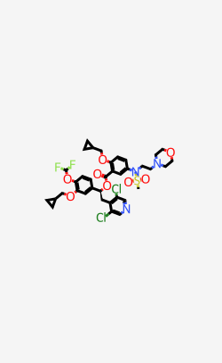 CS(=O)(=O)N(CCN1CCOCC1)c1ccc(OCC2CC2)c(C(=O)O[C@@H](Cc2c(Cl)cncc2Cl)c2ccc(OC(F)F)c(OCC3CC3)c2)c1